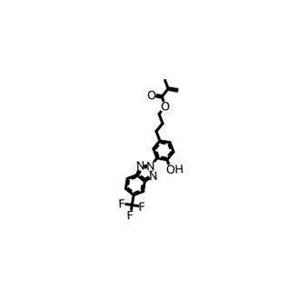 C=C(C)C(=O)OCCCc1ccc(O)c(-n2nc3ccc(C(F)(F)F)cc3n2)c1